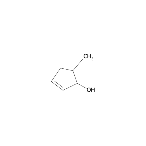 CC1CC=CC1O